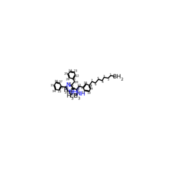 BCCCCCCCc1cccc(/C=C(\NC)C(=C)/C(Cc2ccccc2)=N\C(=C/NC)c2ccccc2)c1